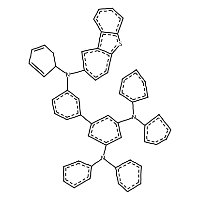 C1=CCC(N(c2cccc(-c3cc(N(c4ccccc4)c4ccccc4)cc(N(c4ccccc4)c4ccccc4)c3)c2)c2ccc3sc4ccccc4c3c2)C=C1